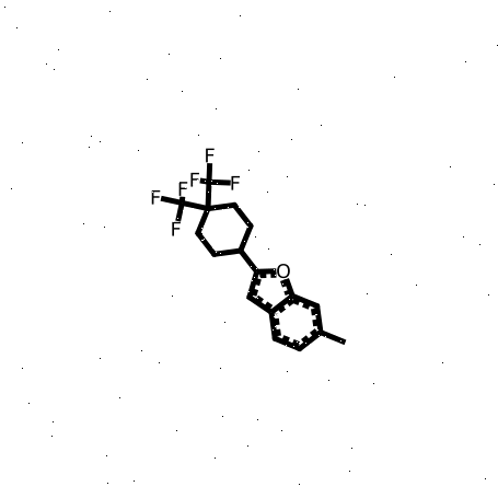 Cc1ccc2cc(C3CCC(C(F)(F)F)(C(F)(F)F)CC3)oc2c1